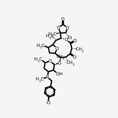 CC[C@H]1OC(=O)O[C@@]1(C)[C@@H]1OC(=O)[C@H](C)C(=O)[C@H](C)[C@@H](O[C@@H]2OC(C)CC(N(C)Cc3ccc(Cl)cc3)C2O)[C@@]2(C)CC(C)C(O2)[C@@H]1C